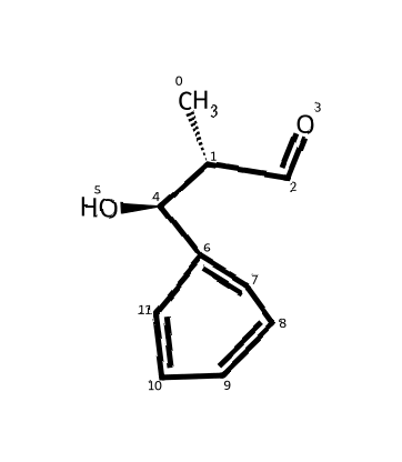 C[C@H](C=O)[C@H](O)c1ccccc1